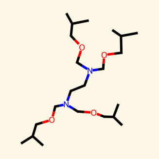 CC(C)COCN(CCN(COCC(C)C)COCC(C)C)COCC(C)C